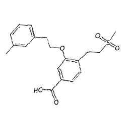 Cc1cccc(CCOc2cc(C(=O)O)ccc2CCS(C)(=O)=O)c1